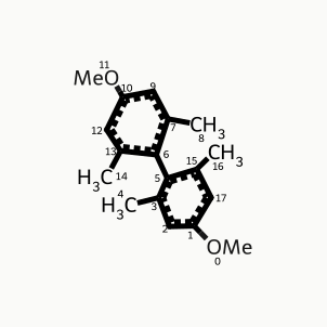 COc1cc(C)c(-c2c(C)cc(OC)cc2C)c(C)c1